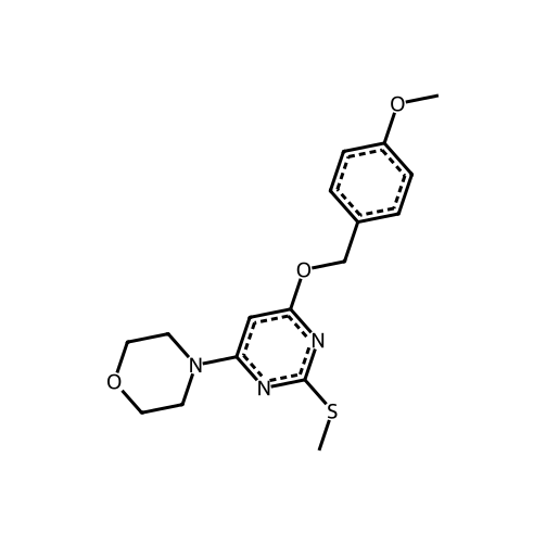 COc1ccc(COc2cc(N3CCOCC3)nc(SC)n2)cc1